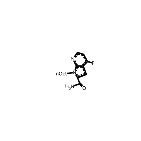 CCCCCCCCn1c(C(N)=O)cc2c(F)ccnc21